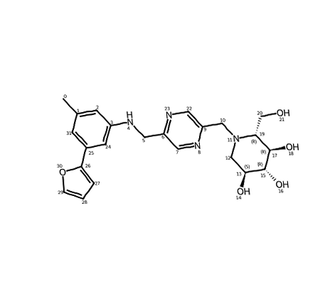 Cc1cc(NCc2cnc(CN3C[C@H](O)[C@@H](O)[C@H](O)[C@H]3CO)cn2)cc(-c2ccco2)c1